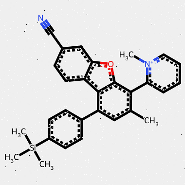 Cc1cc(-c2ccc([Si](C)(C)C)cc2)c2c(oc3cc(C#N)ccc32)c1-c1cccc[n+]1C